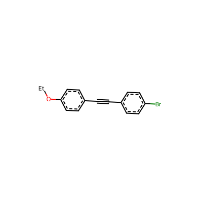 CCOc1ccc(C#Cc2ccc(Br)cc2)cc1